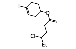 C=C(CCC(Cl)CC)OC1CC=C(I)CC1